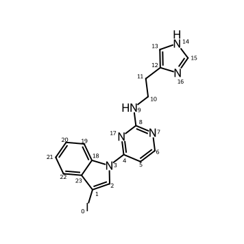 Ic1cn(-c2ccnc(NCCc3c[nH]cn3)n2)c2ccccc12